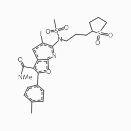 CNC(=O)c1c(-c2ccc(C)cc2)oc2nc(N(CCCC3CCCS3(=O)=O)S(C)(=O)=O)c(I)cc12